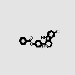 O=C(Oc1ccc(C2NCCc3c2[nH]c2ccc(Cl)cc32)cc1)c1ccccc1